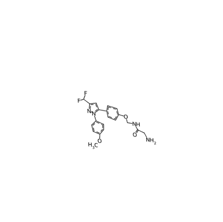 COc1ccc(-n2nc(C(F)F)cc2-c2ccc(OCNC(=O)CN)cc2)cc1